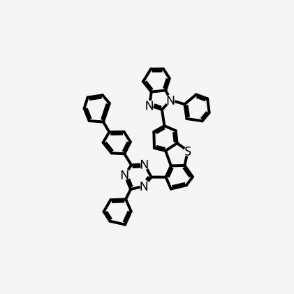 c1ccc(-c2ccc(-c3nc(-c4ccccc4)nc(-c4cccc5sc6cc(-c7nc8ccccc8n7-c7ccccc7)ccc6c45)n3)cc2)cc1